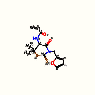 CCCCCCCCCC(=O)NC1C(=O)N(Cc2ccco2)C(=S)SC1(C)C